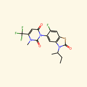 CCC(C)n1c(=O)sc2cc(F)c(-n3c(=O)cc(C(F)(F)F)n(C)c3=O)cc21